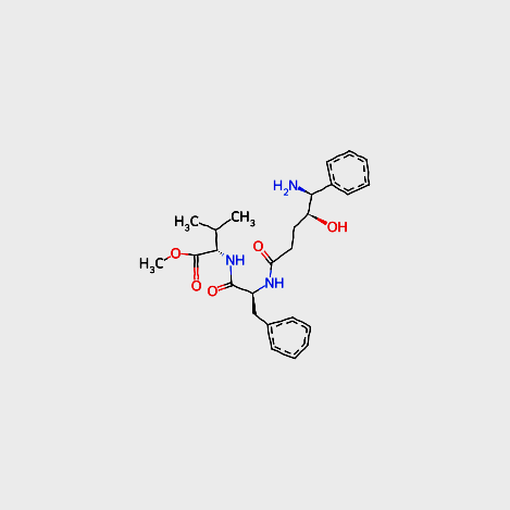 COC(=O)[C@@H](NC(=O)[C@H](Cc1ccccc1)NC(=O)CC[C@H](O)[C@@H](N)c1ccccc1)C(C)C